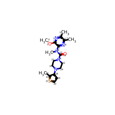 COc1nc(C)c(C)nc1N(C)C(=O)N1CCN(c2ccsc2C)CC1